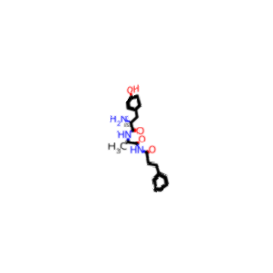 C[C@@H](NC(=O)[C@@H](N)Cc1ccc(O)cc1)C(=O)NC(=O)CCc1ccccc1